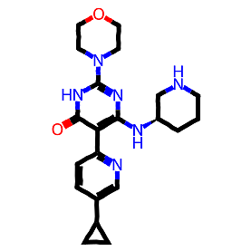 O=c1[nH]c(N2CCOCC2)nc(N[C@@H]2CCCNC2)c1-c1ccc(C2CC2)cn1